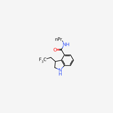 CCCNC(=O)c1cccc2c1C(CC(F)(F)F)CN2